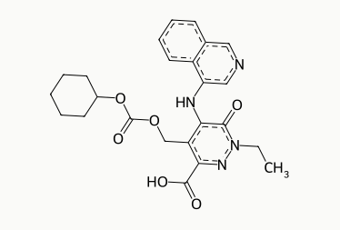 CCn1nc(C(=O)O)c(COC(=O)OC2CCCCC2)c(Nc2cncc3ccccc23)c1=O